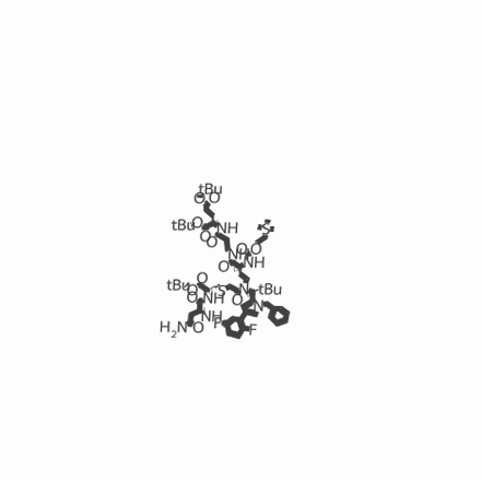 CC(C)(C)OC(=O)CC[C@@H](NC(=O)CCNC(=O)[C@H](CCN(C(=O)CSC[C@H](NC(=O)[C@@H](N)CC(N)=O)C(=O)OC(C)(C)C)[C@@H](c1cc(-c2cc(F)ccc2F)cn1Cc1ccccc1)C(C)(C)C)NC(=O)OCCS(C)(C)C)C(=O)OC(C)(C)C